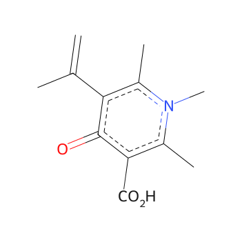 C=C(C)c1c(C)n(C)c(C)c(C(=O)O)c1=O